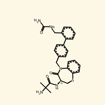 CC(C)(N)C(=O)N[C@@H]1CSc2ccccc2N(Cc2ccc(-c3ccccc3CNC(N)=O)cc2)C1=O